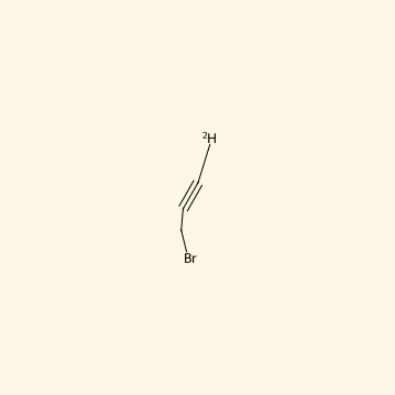 [2H]C#CCBr